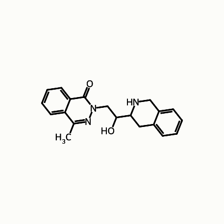 Cc1nn(CC(O)C2Cc3ccccc3CN2)c(=O)c2ccccc12